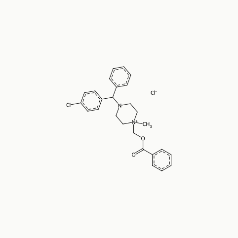 C[N+]1(COC(=O)c2ccccc2)CCN(C(c2ccccc2)c2ccc(Cl)cc2)CC1.[Cl-]